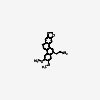 COc1cc2c(CCN)cc3c4cc5c(cc4ncc3c2cc1OC)OCO5